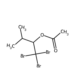 CC(=O)OC(C(C)C)C(Br)(Br)Br